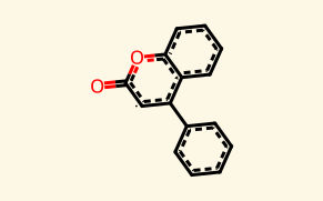 O=c1[c]c(-c2ccccc2)c2ccccc2o1